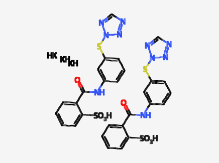 O=C(Nc1cccc(Sn2ncnn2)c1)c1ccccc1S(=O)(=O)O.O=C(Nc1cccc(Sn2ncnn2)c1)c1ccccc1S(=O)(=O)O.[KH].[KH].[KH]